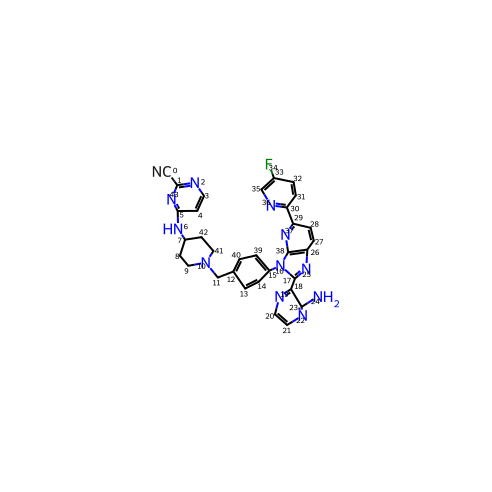 N#Cc1nccc(NC2CCN(Cc3ccc(-n4c(-c5nccnc5N)nc5ccc(-c6ccc(F)cn6)nc54)cc3)CC2)n1